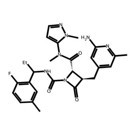 CCC(NC(=O)N1C(=O)[C@H](Cc2cc(C)nc(N)c2)[C@H]1C(=O)N(C)c1ccnn1C)c1cc(C)ccc1F